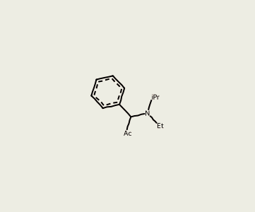 CCN(C(C)C)C(C(C)=O)c1ccccc1